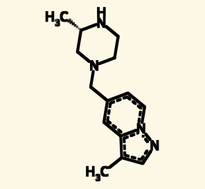 Cc1cnn2ccc(CN3CCN[C@@H](C)C3)cc12